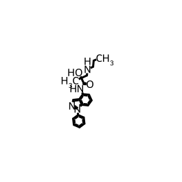 CCCNCC(C)(O)C(=O)Nc1cccc2c1cnn2-c1ccccc1